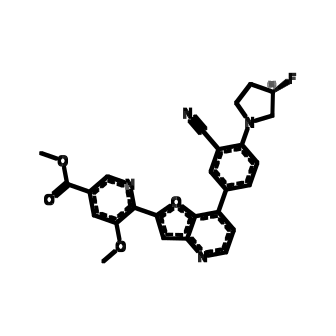 COC(=O)c1cnc(-c2cc3nccc(-c4ccc(N5CC[C@@H](F)C5)c(C#N)c4)c3o2)c(OC)c1